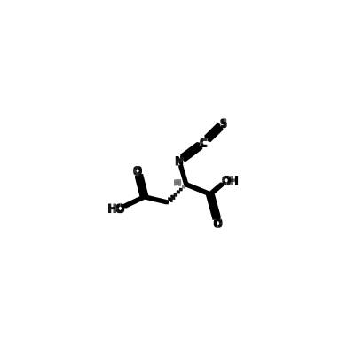 O=C(O)C[C@H](N=C=S)C(=O)O